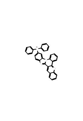 S=P(c1ccccc1)(c1ccccc1)c1ccc2nc3c4cc5ccccc5nc4c4ccccc4n3c2c1